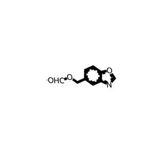 O=[C]OCc1ccc2ocnc2c1